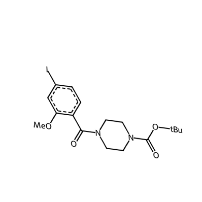 COc1cc(I)ccc1C(=O)N1CCN(C(=O)OC(C)(C)C)CC1